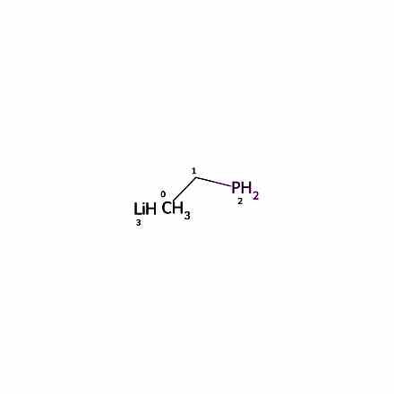 CCP.[LiH]